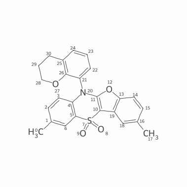 Cc1ccc2c(c1)S(=O)(=O)c1c(oc3ccc(C)cc13)N2c1cccc2c1OCCC2